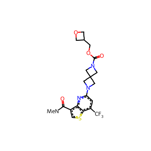 CNC(=O)c1csc2c(C(F)(F)F)cc(N3CC4(CN(C(=O)OCC5COC5)C4)C3)nc12